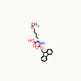 COCCCCC[C@H](NC(=O)OCC1c2ccccc2-c2ccccc21)C(=O)O